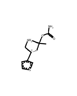 CC(C)(C[C@@H](CN)c1ccsc1)OC(N)=O